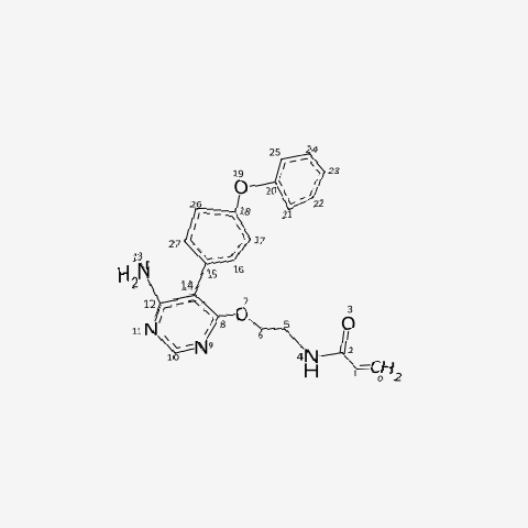 C=CC(=O)NCCOc1ncnc(N)c1-c1ccc(Oc2ccccc2)cc1